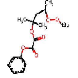 CC(CC(C)(C)OC(=O)C(=O)Oc1ccccc1)OOC(C)(C)C